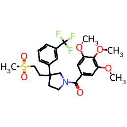 COc1cc(C(=O)N2CCC(CCS(C)(=O)=O)(c3cccc(C(F)(F)F)c3)C2)cc(OC)c1OC